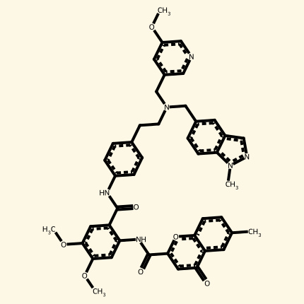 COc1cncc(CN(CCc2ccc(NC(=O)c3cc(OC)c(OC)cc3NC(=O)c3cc(=O)c4cc(C)ccc4o3)cc2)Cc2ccc3c(cnn3C)c2)c1